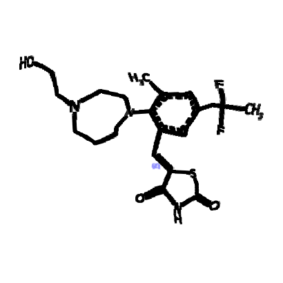 Cc1cc(C(C)(F)F)cc(/C=C2\SC(=O)NC2=O)c1N1CCCN(CCO)CC1